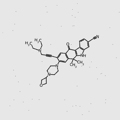 CCN(CC)CC#Cc1cc2c(cc1N1CCN(C3COC3)CC1)C(C)(C)c1[nH]c3cc(C#N)ccc3c1C2=O